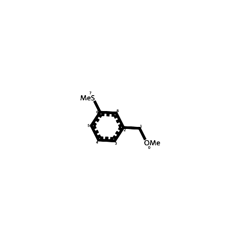 [CH2]OCc1cccc(SC)c1